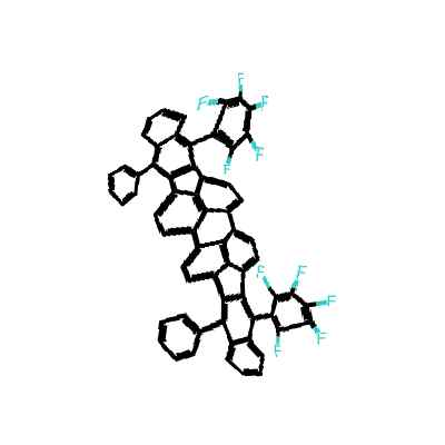 Fc1c(F)c(F)c(-c2c3c(c(-c4ccccc4)c4ccccc24)-c2ccc4c5ccc6c7c(ccc(c8ccc-3c2c48)c75)-c2c-6c(-c3ccccc3)c3ccccc3c2-c2c(F)c(F)c(F)c(F)c2F)c(F)c1F